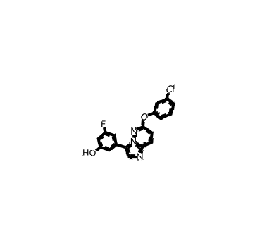 Oc1cc(F)cc(-c2cnc3ccc(Oc4cccc(Cl)c4)nn23)c1